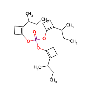 CCC(C)C1=C(OP(=O)(OC2=C(C(C)CC)CC2)OC2=C(C(C)CC)CC2)CC1